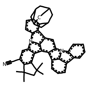 CC1(C)CC(C)(C)c2c1c(C#N)cc1c2c2c3c4cccc5c6ccccc6n(c3cc3c6c7c(ccc6n1c32)C1CC2CC(C1)CC7C2)c54